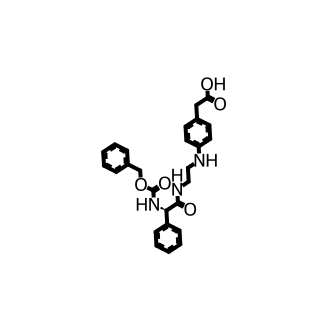 O=C(O)Cc1ccc(NCCNC(=O)[C@@H](NC(=O)OCc2ccccc2)c2ccccc2)cc1